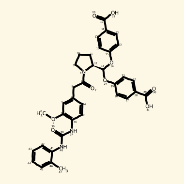 COc1cc(CC(=O)N2CCC[C@H]2C(Oc2ccc(C(=O)O)cc2)Oc2ccc(C(=O)O)cc2)ccc1NC(=O)Nc1ccccc1C